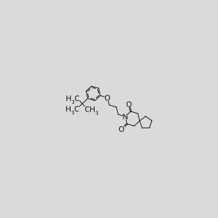 CC(C)(C)c1cccc(OCCCN2C(=O)CC3(CCCC3)CC2=O)c1